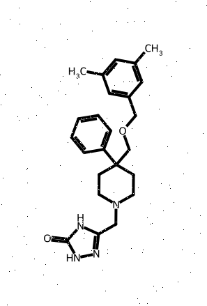 Cc1cc(C)cc(COCC2(c3ccccc3)CCN(Cc3n[nH]c(=O)[nH]3)CC2)c1